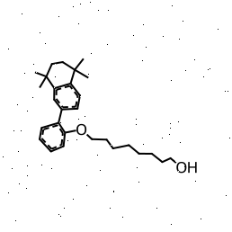 CC1(C)CCC(C)(C)c2cc(-c3ccccc3OCCCCCCCCO)ccc21